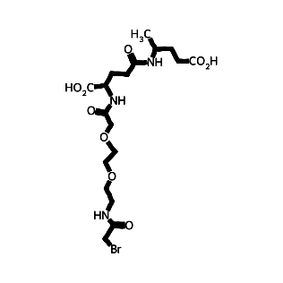 CC(CCC(=O)O)NC(=O)CCC(NC(=O)COCCOCCNC(=O)CBr)C(=O)O